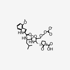 COC(=O)OCOCC(=O)C(C[C@@H]1CCN(C(=O)O)C1=O)NC(=O)C(CC(C)C)NC(=O)c1cc2c(OC)cccc2[nH]1